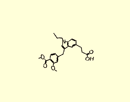 CCCn1cc(Cc2ccc(C(=O)OC)c(OC)c2)c2cc(CCC(=O)O)ccc21